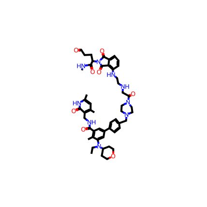 CCN(c1cc(-c2ccc(CN3CCN(C(=O)CNCCNc4cccc5c4C(=O)N(C(CCC=O)C(=O)NC)C5=O)CC3)cc2)cc(C(=O)NCc2c(C)cc(C)[nH]c2=O)c1C)C1CCOCC1